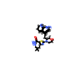 CC1(C)CNC(=O)c2sc(N3CCOCC3Cc3c[nH]c4ncccc34)nc2C1